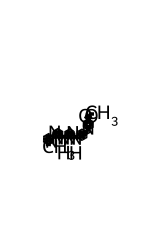 COC(=O)C1CCN(Cc2ccc(Nc3nccc(Nc4ccnc(-c5cccc(C)n5)n4)n3)cc2)CC1